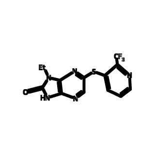 CCn1c(=O)[nH]c2ncc(Sc3cccnc3C(F)(F)F)nc21